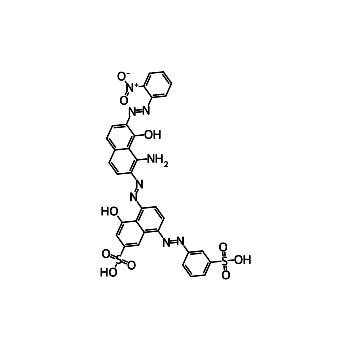 Nc1c(N=Nc2ccc(N=Nc3cccc(S(=O)(=O)O)c3)c3cc(S(=O)(=O)O)cc(O)c23)ccc2ccc(N=Nc3ccccc3[N+](=O)[O-])c(O)c12